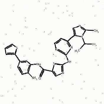 Cc1ncc(-c2ccnc(Nc3ncc(C(=O)Nc4cc(-c5cccs5)ccc4N)s3)n2)n1C(C)C